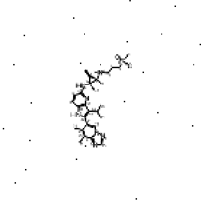 C=C1C(C)(NCCCS(C)(=O)=O)[C@]1(C)Nc1ccc2[nH]c(-c3cn4ncnc4c(C)c3C)c(C(C)C)c2n1